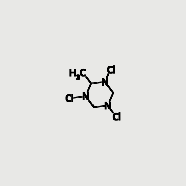 CC1N(Cl)CN(Cl)CN1Cl